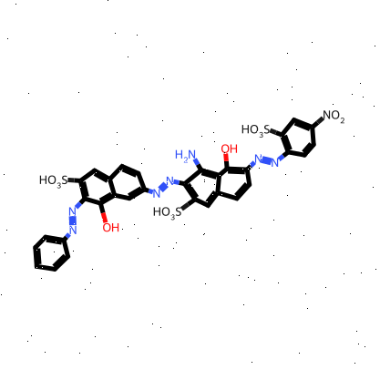 Nc1c(N=Nc2ccc3cc(S(=O)(=O)O)c(N=Nc4ccccc4)c(O)c3c2)c(S(=O)(=O)O)cc2ccc(N=Nc3ccc([N+](=O)[O-])cc3S(=O)(=O)O)c(O)c12